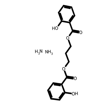 N.N.O=C(OCCCOC(=O)c1ccccc1O)c1ccccc1O